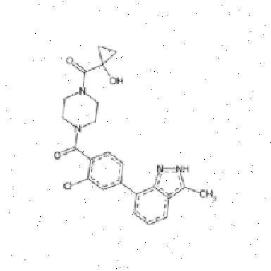 Cc1[nH]nc2c(-c3ccc(C(=O)N4CCN(C(=O)C5(O)CC5)CC4)c(Cl)c3)cccc12